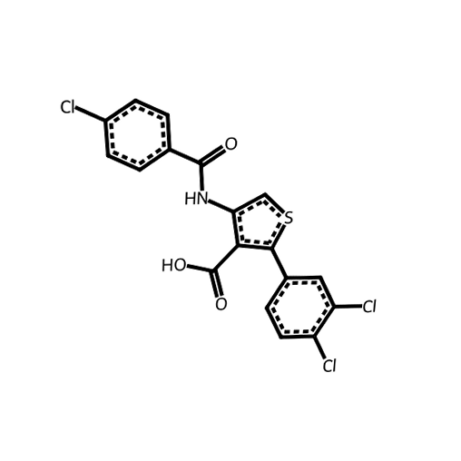 O=C(Nc1csc(-c2ccc(Cl)c(Cl)c2)c1C(=O)O)c1ccc(Cl)cc1